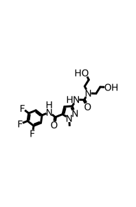 Cn1nc(NC(=O)N(CCO)CCO)cc1C(=O)Nc1cc(F)c(F)c(F)c1